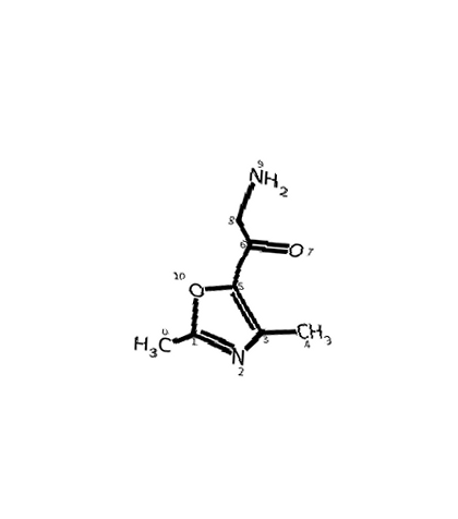 Cc1nc(C)c(C(=O)CN)o1